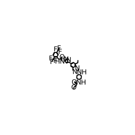 CCc1cc(-c2cc(NC(=O)Cc3cc(C(F)(F)F)ccc3C(F)(F)F)nn2C)cc2cnc(NC3CCC(NC(=O)COC)CC3)nc12